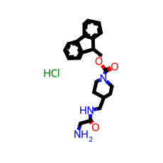 Cl.NCC(=O)NCC1CCN(C(=O)OCC2c3ccccc3-c3ccccc32)CC1